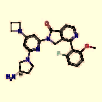 COc1cccc(F)c1-c1nccc2c1CN(c1cc(N3CCC3)cc(N3CC[C@H](N)C3)n1)C2=O